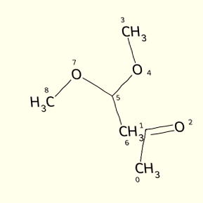 CC=O.COC(C)OC